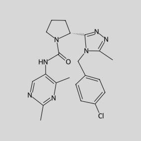 Cc1ncc(NC(=O)N2CCC[C@@H]2c2nnc(C)n2Cc2ccc(Cl)cc2)c(C)n1